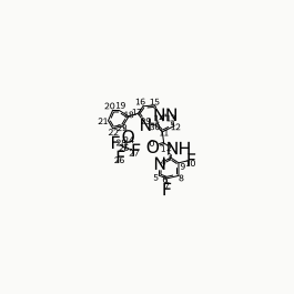 O=C(Nc1ncc(F)cc1F)c1cnn2ccc(-c3ccccc3OC(F)(F)F)nc12